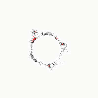 COc1cc2c3cc1OCCCCCOc1cc4c(cc1OC)C(=O)N1CCC[C@H]1C(O)N4C(=O)OCc1ccc(cc1)NC(=O)[C@H](C)NC(=O)[C@H](C(C)C)NC(=O)CCCNC(=O)[C@H](NC(=O)CCCN1C(=O)C=CC1=O)[C@H](NC(=O)CCCN1C(=O)C=CC1=O)C(=O)NCCCC(=O)N[C@@H](C(C)C)C(=O)N[C@@H](C)C(=O)Nc1ccc(cc1)COC(=O)N3C(O)[C@@H]1CCCN1C2=O